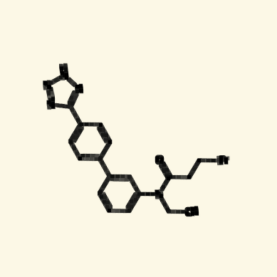 CC(C)CCC(=O)N(CC#N)c1cccc(-c2ccc(-c3nn[nH]n3)cc2)c1